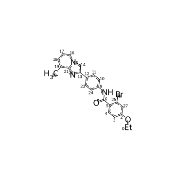 CCOc1ccc(C(=O)Nc2ccc(-c3cn4cccc(C)c4n3)cc2)c(Br)c1